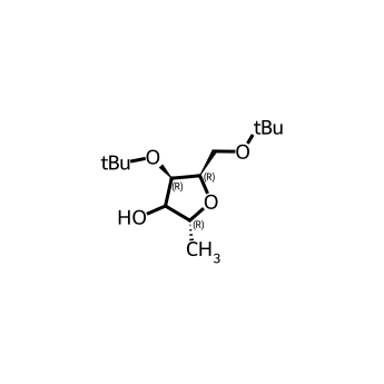 C[C@H]1O[C@H](COC(C)(C)C)[C@H](OC(C)(C)C)C1O